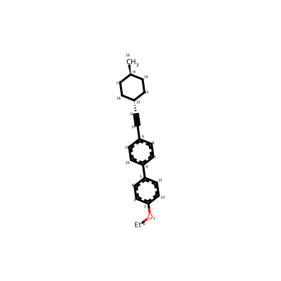 CCOc1ccc(-c2ccc(C#C[C@H]3CC[C@H](C)CC3)cc2)cc1